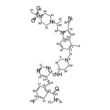 Cc1c(CN2CCC(Nc3ncncc3Sc3ccc(F)cc3C(=O)N(C)C)CC2)ccc2c1cc(C#N)n2CC(C)N1CCN(S(C)(=O)=O)CC1